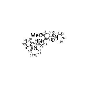 COc1ccc(S(=O)(=O)N2CCCCC2)cc1-c1ccc(CN2CCCCCC2c2ccccc2)[nH]1